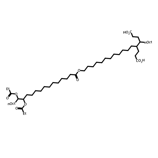 CCCCCCCCC(CCC(=O)O)C(CCCCCCCCCCCCOC(=O)CCCCCCCCCCCC(OC(=O)CC)C(CCCCCCCC)OC(=O)CC)CCC(=O)O